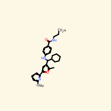 COc1cccc(-c2cc(C(Nc3ccc(C(=O)NCCC(=O)O)cc3)C3CCCCC3)c(C)o2)n1